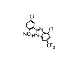 O=[N+]([O-])c1ccc(Cl)cc1-c1nc2c(Cl)cc(C(F)(F)F)cc2[nH]1